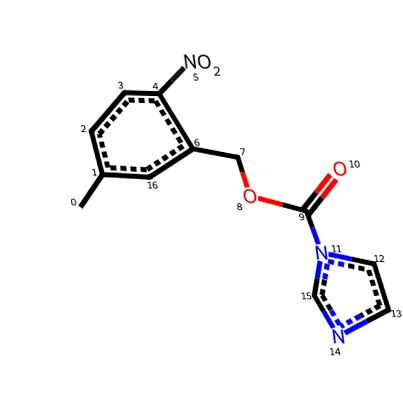 Cc1ccc([N+](=O)[O-])c(COC(=O)n2ccnc2)c1